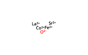 [Co+2].[Fe+2].[La+3].[O-2].[Sr+2]